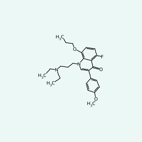 CCCOc1ccc(F)c2c(=O)c(-c3ccc(OC)cc3)cn(CCCN(CC)CC)c12